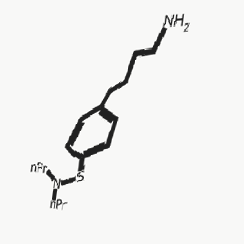 CCCN(CCC)Sc1ccc(CCCCN)cc1